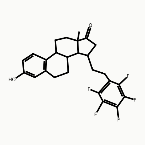 CC12CCC3c4ccc(O)cc4CCC3C1C(CCc1c(F)c(F)c(F)c(F)c1F)CC2=O